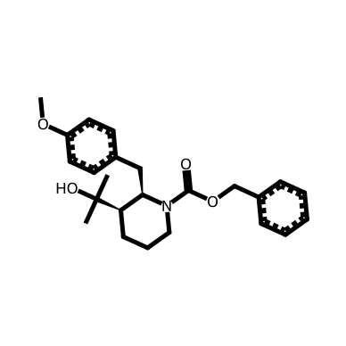 COc1ccc(C[C@@H]2[C@H](C(C)(C)O)CCCN2C(=O)OCc2ccccc2)cc1